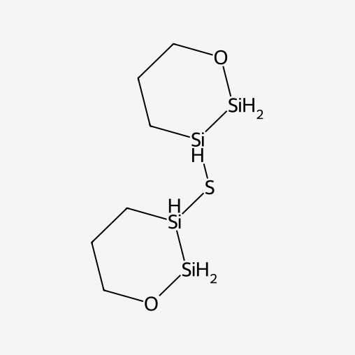 C1CO[SiH2][SiH](S[SiH]2CCCO[SiH2]2)C1